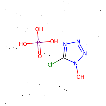 O=P(O)(O)O.On1nnnc1Cl